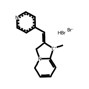 Br.C[C+]1C(=Cc2ccncc2)CN2CC=CC=C12.[Br-]